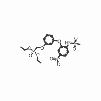 CCOP(=O)(COc1cccc(Oc2cc([N+](=O)[O-])ccc2NS(C)(=O)=O)c1)OCC